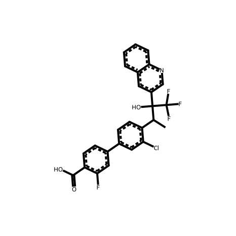 CC(c1ccc(-c2ccc(C(=O)O)c(F)c2)cc1Cl)C(O)(c1cnc2ccccc2c1)C(F)(F)F